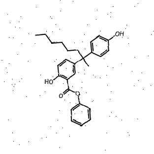 CCCCCCC(C)(c1ccc(O)cc1)c1ccc(O)c(C(=O)Oc2ccccc2)c1